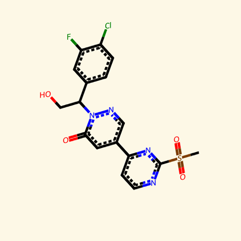 CS(=O)(=O)c1nccc(-c2cnn(C(CO)c3ccc(Cl)c(F)c3)c(=O)c2)n1